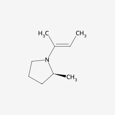 CC=C(C)N1CCC[C@@H]1C